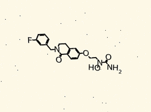 NC(=O)N(O)CCOc1ccc2c(c1)CCN(Cc1cccc(F)c1)C2=O